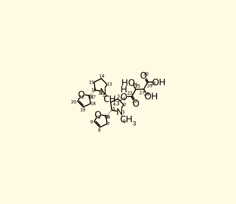 CN1CCCC1[C@@H]1CC=CO1.CN1CCCC1[C@@H]1CC=CO1.O=C(O)C(O)C(O)C(=O)O